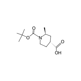 C[C@H]1C[C@H](C(=O)O)CCN1C(=O)OC(C)(C)C